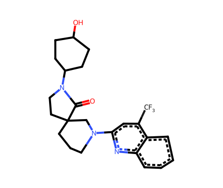 O=C1N(C2CCC(O)CC2)CCC12CCCN(c1cc(C(F)(F)F)c3ccccc3n1)C2